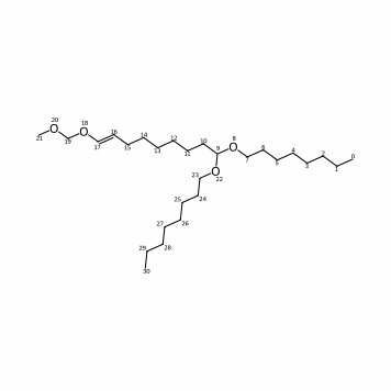 CCCCCCCCOC(CCCCCCC=COCOC)OCCCCCCCC